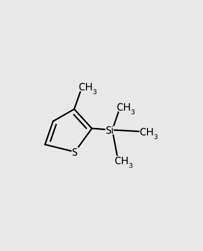 Cc1ccsc1[Si](C)(C)C